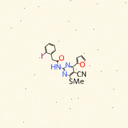 CSc1nc(NC(=O)Cc2ccccc2I)nc(-c2ccco2)c1C#N